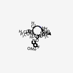 CC[C@@H]1C[C@H](C)CC/C=C\[C@@H]2C[C@@]2(C(=O)NS(=O)(=O)C2(C)CC2)NC(=O)[C@@H]2C[C@@H](Oc3nccc4cc(OC)c(F)cc34)CN2C(=O)[C@H]1NC(=O)OC(C)(C)C(F)(F)F